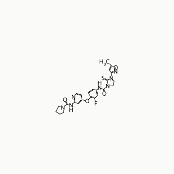 Cc1cc(N2CCN(C(=O)Nc3ccc(Oc4ccnc(NC(=O)N5CCCC5)c4)c(F)c3)C2=S)no1